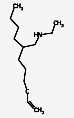 C=CCCCCC(CCCC)CNCC